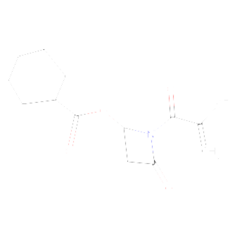 C=C(C(=O)N1C(=O)CC1OC(=O)C1CCCCC1)C(F)(F)F